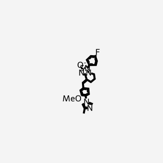 COc1cc(/C=C2\CCCN3C2=N[S+]([O-])N3c2ccc(F)cc2)ccc1-n1cnc(C)c1